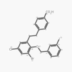 O=C(O)c1ccc(CCc2cc(Cl)cc(Br)c2OCc2cccc(I)c2)cc1